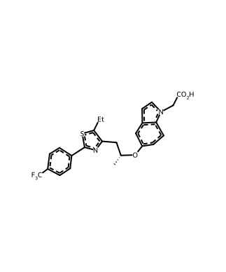 CCc1sc(-c2ccc(C(F)(F)F)cc2)nc1C[C@@H](C)Oc1ccc2c(ccn2CC(=O)O)c1